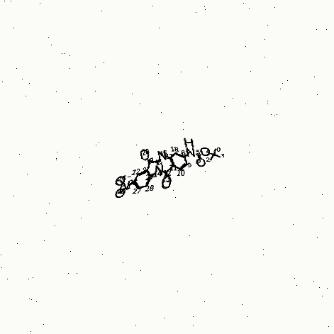 CC(C)(C)OC(=O)Nc1ccc2c(=O)n3c(nc2c1)C(=O)c1cc([N+](=O)[O-])ccc1-3